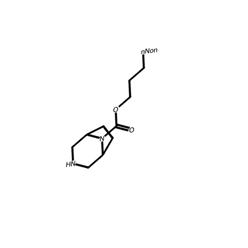 CCCCCCCCCCCCOC(=O)N1C2CCC1CNC2